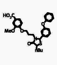 CCCCC1SC(c2cccc(Oc3ccccc3)c2)N(CCCOc2ccc(C(=O)O)cc2OC)C1=O